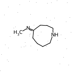 C/N=C1\CCCCNCCC1